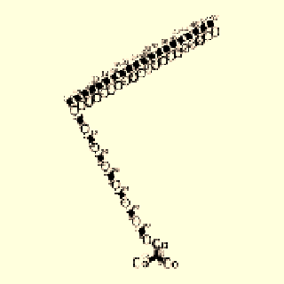 [C]=O.[C]=O.[C]=O.[C]=O.[C]=O.[C]=O.[C]=O.[C]=O.[C]=O.[C]=O.[C]=O.[C]=O.[C]=O.[C]=O.[C]=O.[C]=O.[C]=O.[C]=O.[C]=O.[C]=O.[C]=O.[C]=O.[C]=O.[C]=O.[C]=O.[C]=O.[C]=O.[Co][CH]([Co])[Co]